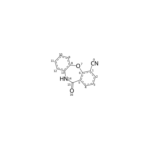 N#Cc1cccc2c1Oc1ccccc1NC2=O